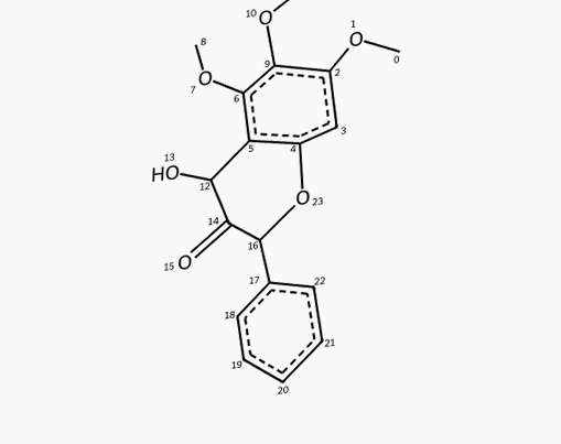 COc1cc2c(c(OC)c1OC)C(O)C(=O)C(c1ccccc1)O2